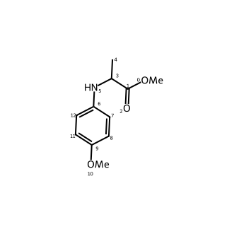 COC(=O)C(C)Nc1ccc(OC)cc1